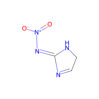 O=[N+]([O-])N=C1N=CCN1